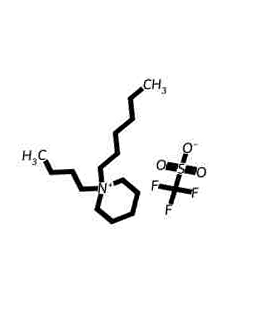 CCCCCC[N+]1(CCCC)CCCCC1.O=S(=O)([O-])C(F)(F)F